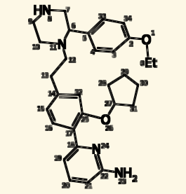 CCOc1ccc(C2CNCCN2CCc2ccc(-c3cccc(N)n3)c(OC3CCCC3)c2)cc1